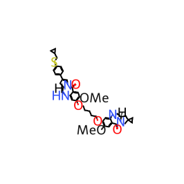 COc1cc2c(cc1OCCCCCOc1cc3c(cc1OC)C(=O)N1C=C(c4ccc(SCC5CC5)cc4)C[C@H]1CN3)N=C[C@@H]1CC3(CC3)CN1C2=O